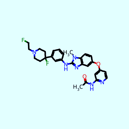 CC(=O)Nc1cc(Oc2ccc3c(c2)nc(Nc2cccc(C4(F)CCN(CCF)CC4)c2)n3C)ccn1